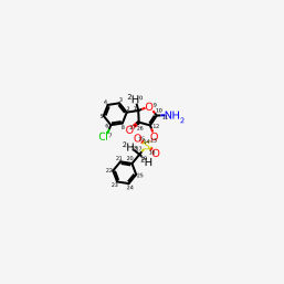 [2H]C1(c2cccc(Cl)c2)OC(N)=C(OS(=O)(=O)C([2H])([2H])c2ccccc2)C1=O